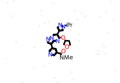 CNC(=O)c1cncc(-c2cnn3cc(-c4cnn(C(C)C)c4)c(OC4CCOC4)nc23)c1